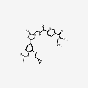 CC(=O)N1CC(c2ccc(OC(F)F)c(OCC3CC3)c2)C[C@@H]1CNC(=O)c1ccc(C(=O)N(C)CC(F)(F)F)cn1